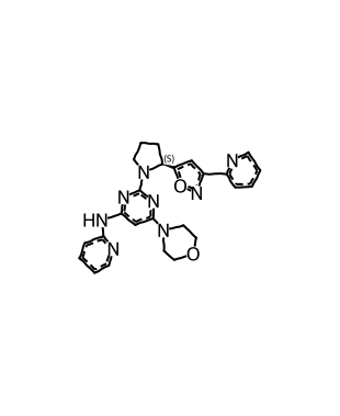 c1ccc(Nc2cc(N3CCOCC3)nc(N3CCC[C@H]3c3cc(-c4ccccn4)no3)n2)nc1